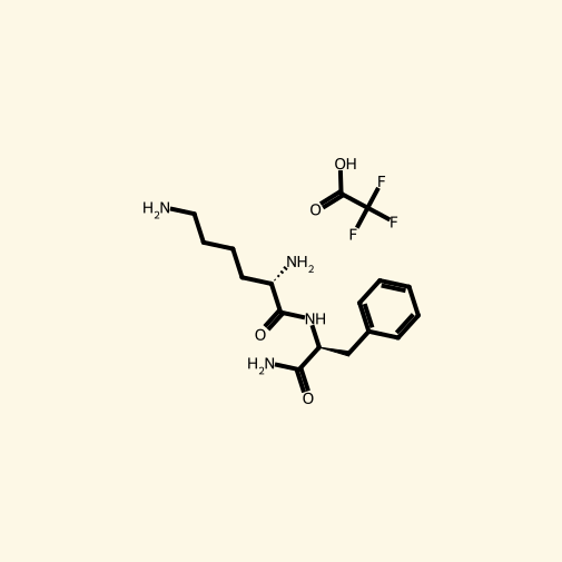 NCCCC[C@H](N)C(=O)N[C@@H](Cc1ccccc1)C(N)=O.O=C(O)C(F)(F)F